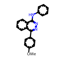 COc1ccc(-c2nnc(Nc3ccccc3)c3ccccc23)cc1